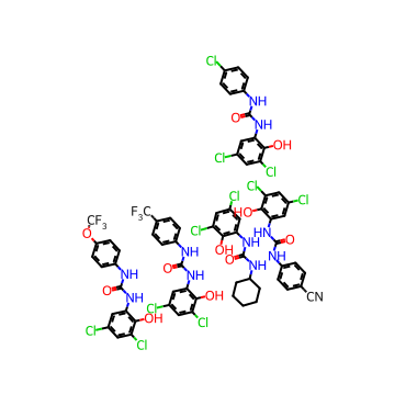 N#Cc1ccc(NC(=O)Nc2cc(Cl)cc(Cl)c2O)cc1.O=C(Nc1cc(Cl)cc(Cl)c1O)NC1CCCCC1.O=C(Nc1ccc(C(F)(F)F)cc1)Nc1cc(Cl)cc(Cl)c1O.O=C(Nc1ccc(Cl)cc1)Nc1cc(Cl)cc(Cl)c1O.O=C(Nc1ccc(OC(F)(F)F)cc1)Nc1cc(Cl)cc(Cl)c1O